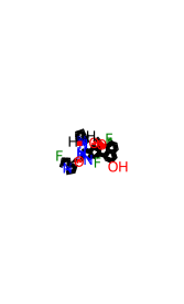 C#Cc1c(F)ccc2cc(O)cc(-c3c4c(c5c(N6C[C@H]7CC[C@@H](C6)N7)nc(OC[C@@]67CCCN6C[C@H](F)C7)nc5c3F)OCO4)c12